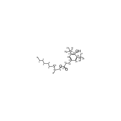 CCCCCCSC(C)COC(=O)CCc1cc(C(C)(C)C)c(O)c(C(C)(C)C)c1